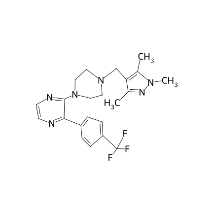 Cc1nn(C)c(C)c1CN1CCN(c2nccnc2-c2ccc(C(F)(F)F)cc2)CC1